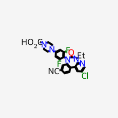 CCN1C(=O)N(c2c(F)cc(N3CCN(C(=O)O)CC3)cc2F)c2cc(C#N)ccc2-c2cc(Cl)cnc21